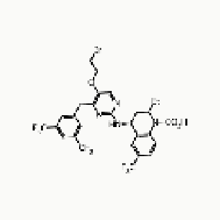 CC[C@@H]1C[C@H](Nc2ncc(OCCBr)c(Cc3cc(C(F)(F)F)cc(C(F)(F)F)c3)n2)c2cc(C(F)(F)F)ccc2N1C(=O)O